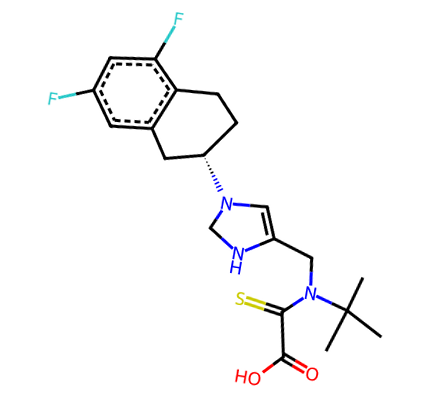 CC(C)(C)N(CC1=CN([C@H]2CCc3c(F)cc(F)cc3C2)CN1)C(=S)C(=O)O